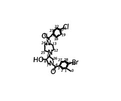 Cc1cc(C(=O)N2CC(O)C(N3CCN(C(=O)c4ccc(Cl)cc4)CC3)C2)ccc1Br